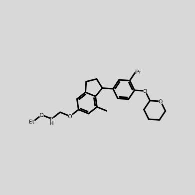 CCOPCOc1cc(C)c2c(c1)CCC2c1ccc(OC2CCCCO2)c(C(C)C)c1